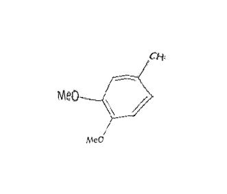 [CH]c1ccc(OC)c(OC)c1